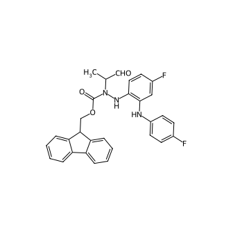 CC(C=O)N(Nc1ccc(F)cc1Nc1ccc(F)cc1)C(=O)OCC1c2ccccc2-c2ccccc21